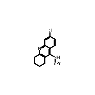 [CH2]CCNc1c2c(nc3cc(Cl)ccc13)CCCC2